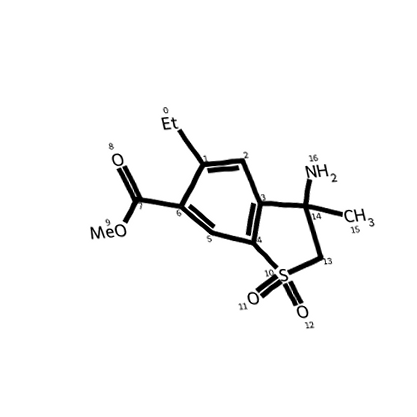 CCc1cc2c(cc1C(=O)OC)S(=O)(=O)CC2(C)N